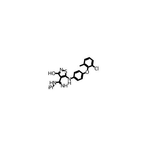 Cc1cccc(Cl)c1Oc1ccc(Nc2snc(O)c2C(=N)NC(C)C)cc1